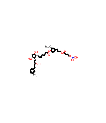 COc1cc(/C=C/COC(=O)CCCON(O)O)ccc1OC(=O)CCC/C=C\C[C@@H]1[C@@H](/C=C/[C@@H](O)CCc2cccc(C(F)(F)F)c2)[C@H](O)C[C@@H]1O